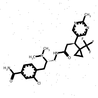 Cc1ncc([C@H](CC(=O)NC[C@H](Cc2ccc(C(N)=O)cc2Cl)N(C)C)C2(C(F)(F)F)CC2)cn1